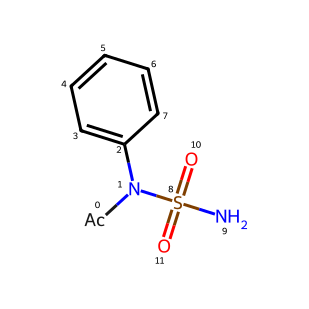 CC(=O)N(c1ccccc1)S(N)(=O)=O